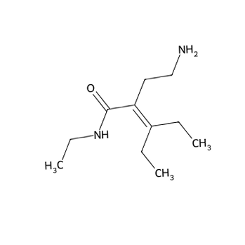 CCNC(=O)C(CCN)=C(CC)CC